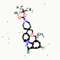 C[C@@H](OCC1(c2ccccc2)CCN(C(=O)OC(C)(C)C)CC1)c1cc(Cl)cc2c(Br)n[nH]c12